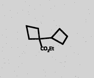 CCOC(=O)C1(C2CCC2)CCC1